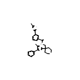 Cc1nc(-c2cccc(C(=O)NCC3(c4nc(-c5ccccc5)c(C)s4)CCOCC3)c2)no1